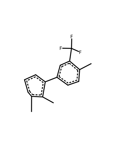 Cc1ccc(-c2cccc(C)c2C)cc1C(F)(F)F